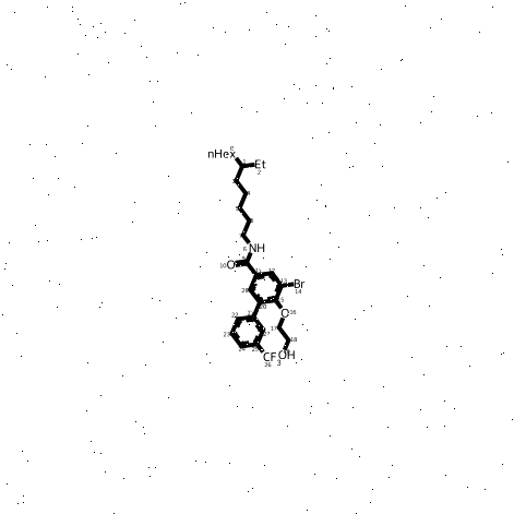 CCCCCCC(CC)CCCCCNC(=O)c1cc(Br)c(OCCO)c(-c2cccc(C(F)(F)F)c2)c1